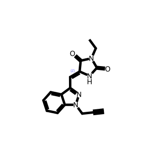 C#CCn1nc(/C=C2\NC(=O)N(CC)C2=O)c2ccccc21